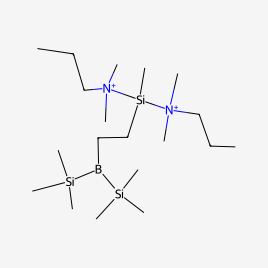 CCC[N+](C)(C)[Si](C)(CCB([Si](C)(C)C)[Si](C)(C)C)[N+](C)(C)CCC